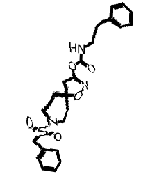 O=C(NCCc1ccccc1)OC1=NOC2(CCN(S(=O)(=O)Cc3ccccc3)CC2)C1